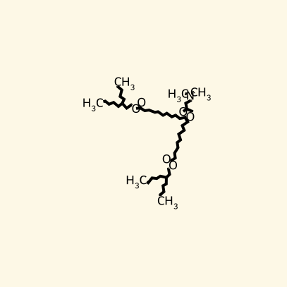 CCCCCC(CCCCC)CCOC(=O)CCCCCCCCCC1(CCCCCCCCCC(=O)OCCC(CCCCC)CCCCC)OCC(CCN(C)C)O1